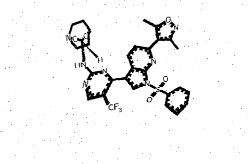 Cc1noc(C)c1-c1ccc2c(-c3nc(N[C@H]4CC5CCN(CC5)C4)ncc3C(F)(F)F)cn(S(=O)(=O)c3ccccc3)c2n1